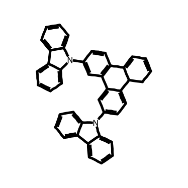 C1=CCC2C(=C1)c1ccc(-n3c4ccccc4c4ccccc43)cc1-c1cc(-n3c4ccccc4c4ccccc43)ccc12